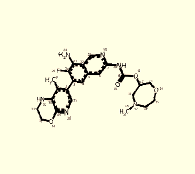 Cc1c(-c2cc3cc(NC(=O)OC4COCCN(C)C4)ncc3c(N)c2F)cnc2c1NCCO2